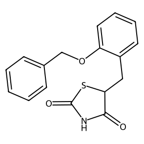 O=C1NC(=O)C(Cc2ccccc2OCc2ccccc2)S1